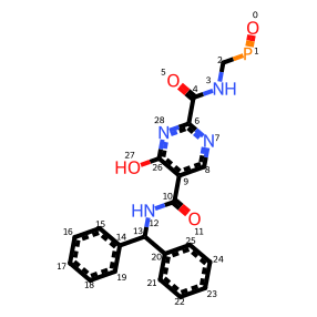 O=PCNC(=O)c1ncc(C(=O)NC(c2ccccc2)c2ccccc2)c(O)n1